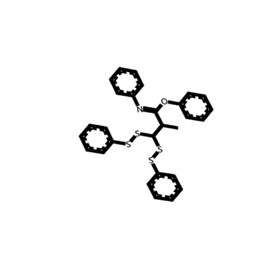 CC(/C(=N/c1ccccc1)Oc1ccccc1)C(SSc1ccccc1)SSc1ccccc1